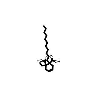 CCCCCCCCCCCC1(C(=O)O)CC=CCC1(CC)C(=O)O